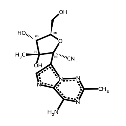 Cc1nc(N)c2ncc([C@]3(C#N)O[C@H](CO)[C@@H](O)[C@@]3(C)O)n2n1